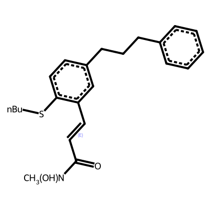 CCCCSc1ccc(CCCc2ccccc2)cc1/C=C/C(=O)N(C)O